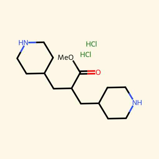 COC(=O)C(CC1CCNCC1)CC1CCNCC1.Cl.Cl